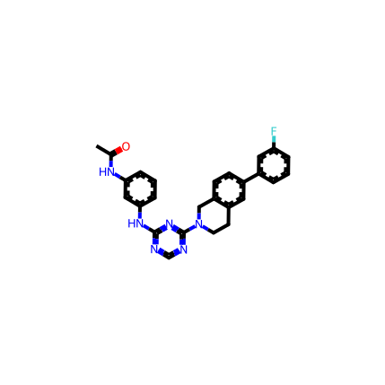 CC(=O)Nc1cccc(Nc2ncnc(N3CCc4cc(-c5cccc(F)c5)ccc4C3)n2)c1